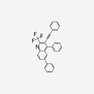 FC(F)(F)c1nc2ccc(-c3ccccc3)cc2c(-c2ccccc2)c1C#Cc1ccccc1